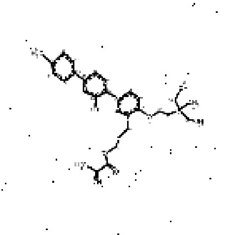 C=C(C)C(=O)OCCCc1cc(-c2ccc(-c3ccc(C)cc3)cc2CC)ccc1OCCC(C)(CO)CO